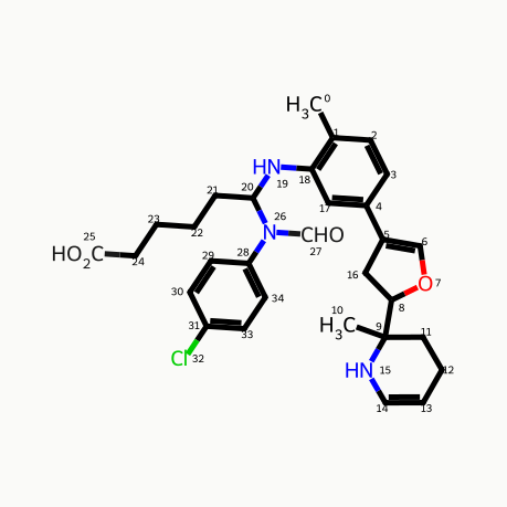 Cc1ccc(C2=COC(C3(C)CCC=CN3)C2)cc1NC(CCCCC(=O)O)N(C=O)c1ccc(Cl)cc1